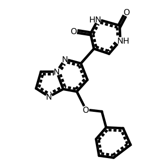 O=c1[nH]cc(-c2cc(OCc3ccccc3)c3nccn3n2)c(=O)[nH]1